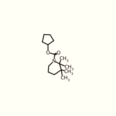 CC1(C)CCCN(C(=O)OC2CCCC2)C1(C)C